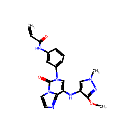 C=CC(=O)Nc1cccc(-n2cc(Nc3cn(C)nc3OC)c3nccn3c2=O)c1